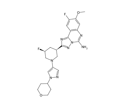 COc1cc2nc(N)n3nc([C@@H]4C[C@H](F)CN(c5cnn(C6CCOCC6)c5)C4)nc3c2cc1F